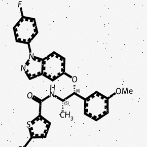 COc1cccc([C@@H](Oc2ccc3c(cnn3-c3ccc(F)cc3)c2)[C@H](C)NC(=O)c2ccc(Cl)s2)c1